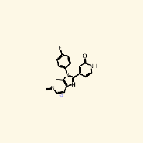 C=N/C=C\c1nc(-c2cc[nH]c(=O)c2)n(-c2ccc(F)cc2)c1C